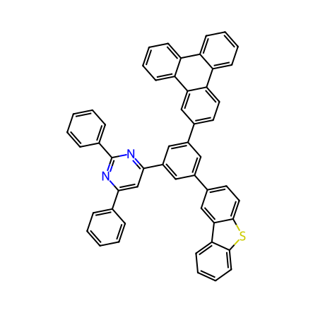 c1ccc(-c2cc(-c3cc(-c4ccc5sc6ccccc6c5c4)cc(-c4ccc5c6ccccc6c6ccccc6c5c4)c3)nc(-c3ccccc3)n2)cc1